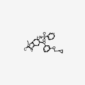 Cn1c(=O)n(C)c2cc(Oc3cccc(OCC4CC4)c3)c(NS(=O)(=O)c3cccnc3)cc21